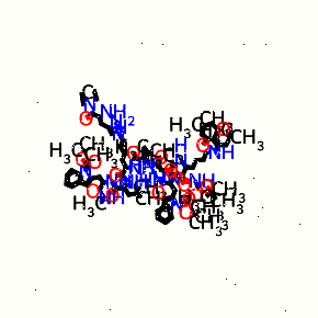 CNC(=O)C(Cc1cc2ccccc2n1C(=O)OC(C)(C)C)NC(=O)C(CC(C)C)NC(=O)C(CCCCn1cc(CC(N)C(=O)N2CCCCC2)nn1)NC(=O)C(NC(=O)C(CCCCNC(=O)OC(C)(C)C)NC(=O)C(Cc1cc2ccccc2n1C(=O)OC(C)(C)C)NC(=O)C(CCCCNC(CC(C)C)=C1C(=O)CC(C)(C)CC1=O)NC(C)=O)C(C)C